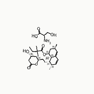 CCC(C)(C)C(=O)O[C@H]1C[C@@H](C)C=C2C=C[C@H](C)[C@H](CC[C@@H]3C[C@@H](O)CC(=O)O3)[C@H]21.NC(CO)C(=O)O